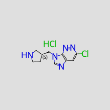 Cl.Clc1cc2ncn(C[C@H]3CCNC3)c2nn1